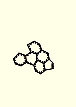 C1=Cc2cc3cccc4c5ccccc5c5ccc1c2c5c34